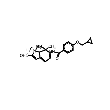 CC1(C)C(NC(=O)c2ccc(OCC3CC3)cc2)=CC=C2C=C(C=O)[N+](C)(C)C21